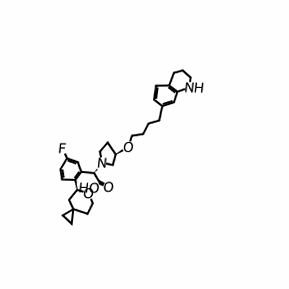 O=C(O)[C@H](c1cc(F)ccc1[C@@H]1CC2(CCO1)CC2)N1CC[C@@H](OCCCCc2ccc3c(c2)NCCC3)C1